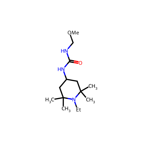 CCN1C(C)(C)CC(NC(=O)NCOC)CC1(C)C